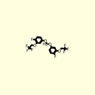 Fc1ccc(OBOc2ccc(F)c(OCC(F)(F)F)c2)cc1OCC(F)(F)F